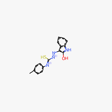 Cc1ccc(/N=C(S)/N=N/c2c(O)[nH]c3ccccc23)cc1